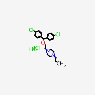 C=CCN1CCN(CCOC(c2ccc(Cl)cc2)c2ccc(Cl)cc2)CC1.Cl.Cl